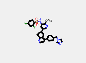 COc1ncc(-c2ccc3nccc(-c4ccc(Cn5ccnc5)cc4)c3c2)cc1NS(=O)(=O)c1ccc(F)cc1F